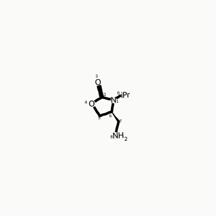 CC(C)N1C(=O)OC[C@@H]1CN